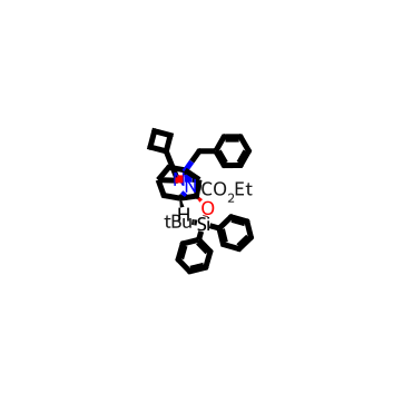 CCOC(=O)N1C2CC3C[C@H]1[C@H](O[Si](c1ccccc1)(c1ccccc1)C(C)(C)C)C2N(Cc1ccccc1)C3C1CCC1